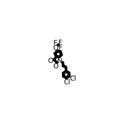 O=C1C(=O)N(C/C=C/c2ccc(Cl)c(Cl)c2)c2ccc(OC(F)(F)F)cc21